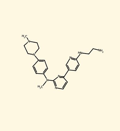 CN1CCN(c2ccc(N(C)c3nccc(-c4ccc(NCCN)nc4)n3)cc2)CC1